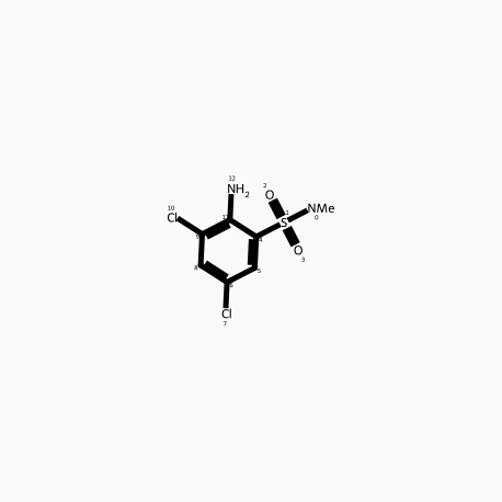 CNS(=O)(=O)c1cc(Cl)cc(Cl)c1N